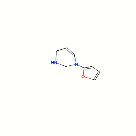 C1=CN(c2ccco2)CNC1